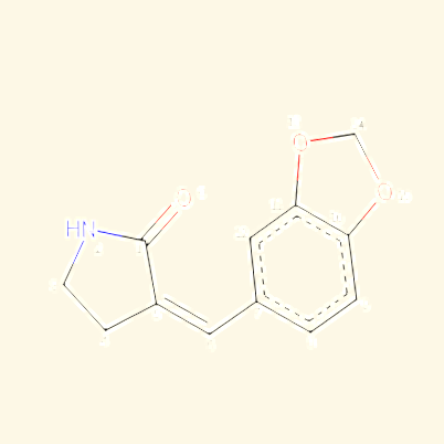 O=C1NCCC1=Cc1ccc2c(c1)OCO2